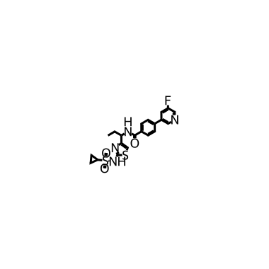 CCC(NC(=O)c1ccc(-c2cncc(F)c2)cc1)c1csc(NS(=O)(=O)C2CC2)n1